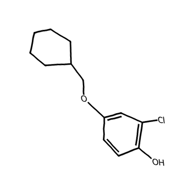 Oc1ccc(OCC2CCCCC2)cc1Cl